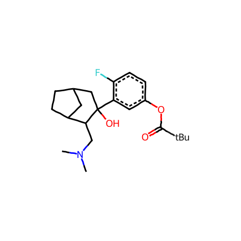 CN(C)CC1C2CCC(C2)CC1(O)c1cc(OC(=O)C(C)(C)C)ccc1F